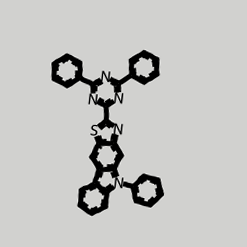 c1ccc(-c2nc(-c3ccccc3)nc(-c3nc4cc5c(cc4s3)c3ccccc3n5-c3ccccc3)n2)cc1